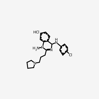 Cl.NN1C(CCCN2CCCC2)=NC(Nc2ccc(Cl)cc2)c2ccccc21